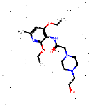 Cc1cc(OCC(F)(F)F)c(NC(=O)CN2CCN(CCO)CC2)c(OCC(F)(F)F)n1